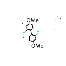 COc1ccc(-c2ccc(OC)cc2F)c(F)c1